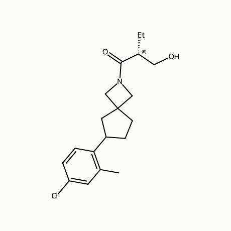 CC[C@H](CO)C(=O)N1CC2(CCC(c3ccc(Cl)cc3C)C2)C1